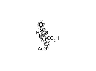 CC(=O)OC[C@@H]1CC[C@H](C2=C(C(=O)O)N3C(=O)[C@@H](NC(=O)Cc4ccccc4)[C@H]3SC2)O1